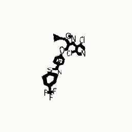 FC(F)(F)c1ccc2sc(C34CCC(OCc5c(-c6c(Cl)cncc6Cl)noc5C5CC5)(CC3)CC4)nc2c1